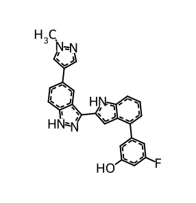 Cn1cc(-c2ccc3[nH]nc(-c4cc5c(-c6cc(O)cc(F)c6)cccc5[nH]4)c3c2)cn1